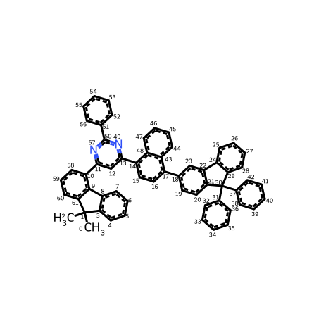 CC1(C)c2ccccc2-c2c(-c3cc(-c4ccc(-c5ccc6c(c5)-c5ccccc5C6(c5ccccc5)c5ccccc5)c5ccccc45)nc(-c4ccccc4)n3)cccc21